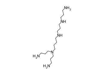 NCCCNCCCNCCCCN(CCCN)CCCN